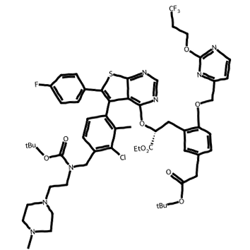 CCOC(=O)[C@@H](Cc1cc(CC(=O)OC(C)(C)C)ccc1OCc1ccnc(OCCC(F)(F)F)n1)Oc1ncnc2sc(-c3ccc(F)cc3)c(-c3ccc(CN(CCN4CCN(C)CC4)C(=O)OC(C)(C)C)c(Cl)c3C)c12